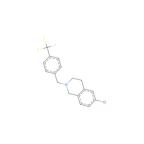 [O]c1ccc2c(c1)CCN(Cc1ccc(C(F)(F)F)cc1)C2